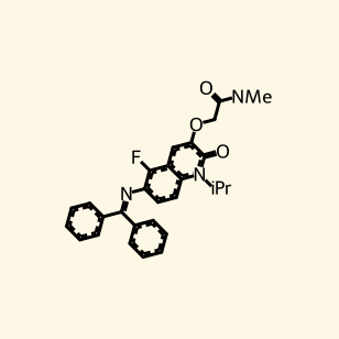 CNC(=O)COc1cc2c(F)c(N=C(c3ccccc3)c3ccccc3)ccc2n(C(C)C)c1=O